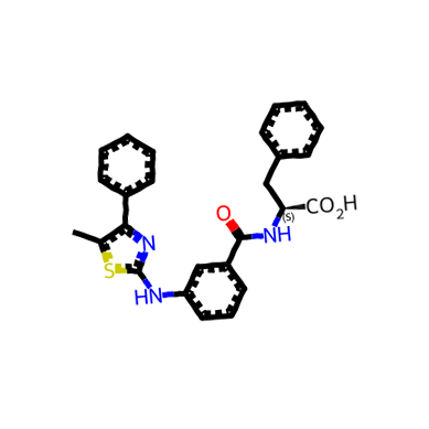 Cc1sc(Nc2cccc(C(=O)N[C@@H](Cc3ccccc3)C(=O)O)c2)nc1-c1ccccc1